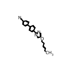 CCC=CCCOc1cnc(-c2ccc(-c3ccc(C#N)cc3)cc2)nc1